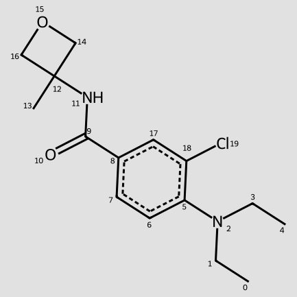 CCN(CC)c1ccc(C(=O)NC2(C)COC2)cc1Cl